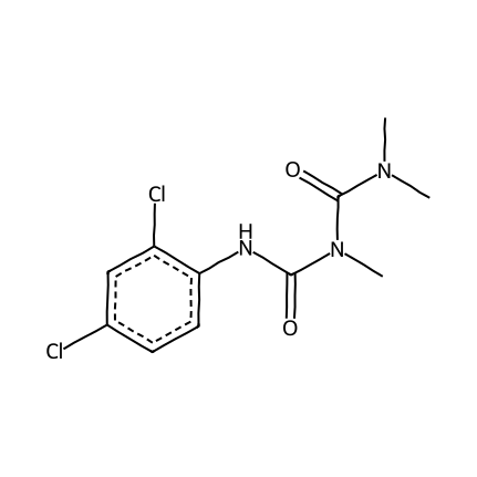 CN(C)C(=O)N(C)C(=O)Nc1ccc(Cl)cc1Cl